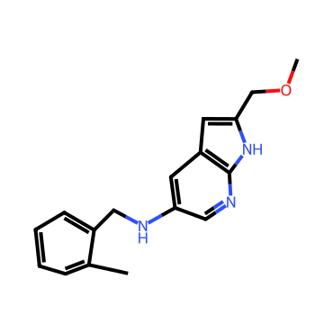 COCc1cc2cc(NCc3ccccc3C)cnc2[nH]1